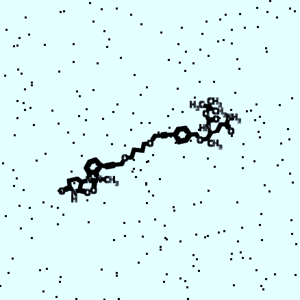 C[C@@H](OCc1ccc(C#CCOCCCCOCC#Cc2cccc3c2n(C)c(=O)n3C2CCC(=O)NC2=O)cc1)[C@H](CCC(N)=O)NC(=O)OC(C)(C)C